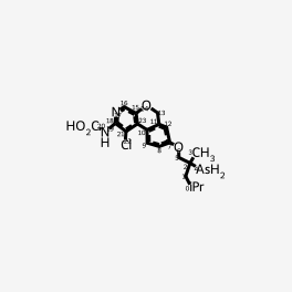 CC(C)CC(C)([AsH2])COc1ccc2c(c1)COc1cnc(NC(=O)O)c(Cl)c1-2